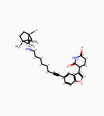 CC1(C)[C@@H]2CC[C@@]1(C)[C@@H](NCCCCCCC#Cc1ccc3occ(C4CCC(=O)NC4=O)c3c1)C2